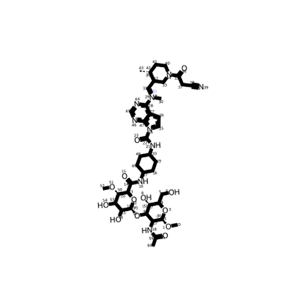 CO[C@@H]1OC(CO)[C@@H](O)C(O[C@@H]2OC(C(=O)NC3CCC(NC(=O)n4ccc5c(/[N+](C)=C/C6CN(C(=O)CC#N)CC[C@H]6C)ncnc54)CC3)[C@@H](OC)C(O)C2O)C1NC(C)=O